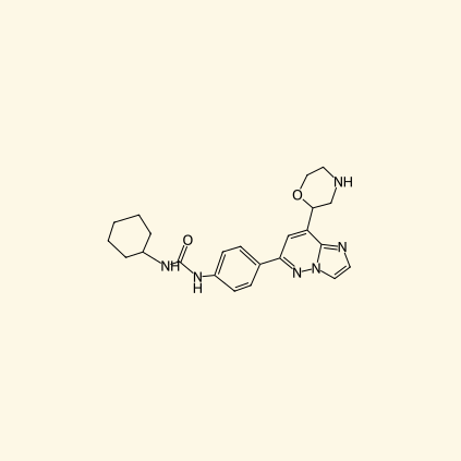 O=C(Nc1ccc(-c2cc(C3CNCCO3)c3nccn3n2)cc1)NC1CCCCC1